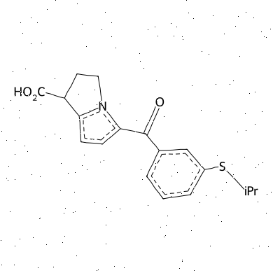 CC(C)Sc1cccc(C(=O)c2ccc3n2CCC3C(=O)O)c1